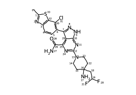 Cc1nc2ccc(-c3n[nH]c4nc(N5CCC(N)(CC(F)F)CC5)nc(C(N)=O)c34)c(Cl)c2s1